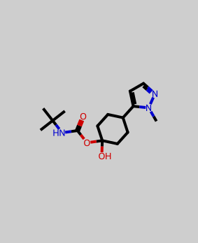 Cn1nccc1C1CCC(O)(OC(=O)NC(C)(C)C)CC1